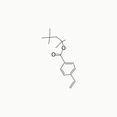 C=Cc1ccc(C(=O)OC(C)(C)CC(C)(C)C)cc1